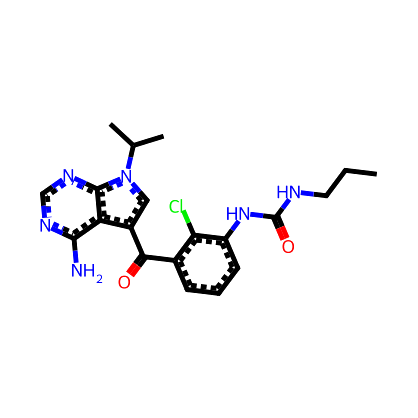 CCCNC(=O)Nc1cccc(C(=O)c2cn(C(C)C)c3ncnc(N)c23)c1Cl